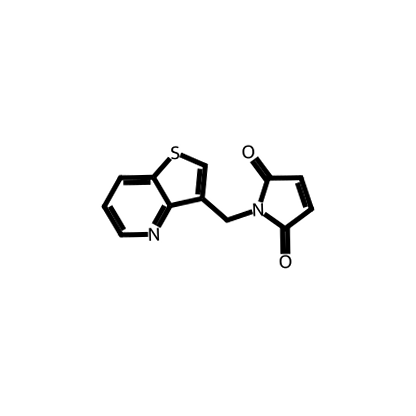 O=C1C=CC(=O)N1Cc1csc2cccnc12